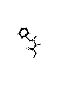 CCC(=O)[C@H](C)N(C)Cc1ccccc1